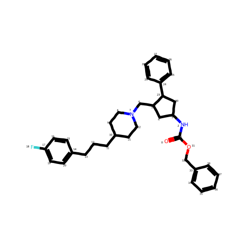 O=C(NC1CC(CN2CCC(CCCc3ccc(F)cc3)CC2)C(c2ccccc2)C1)OCc1ccccc1